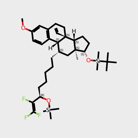 C=C[C@]12CCc3cc(OC)ccc3[C@H]1[C@@H](CCCCC[C@@H](O[Si](C)(C)C)C(F)=C(F)F)C[C@]1(C)[C@@H](O[Si](C)(C)C(C)(C)C)CC[C@H]12